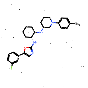 O=[N+]([O-])c1ccc(N2CCC[C@H](N[C@@H]3CCCC[C@H]3Nc3ncc(-c4cccc(F)c4)o3)C2)cc1